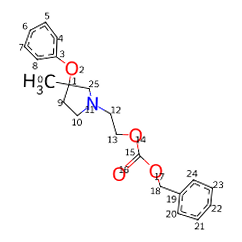 CC1(Oc2ccccc2)CCN(CCOC(=O)OCc2ccccc2)C1